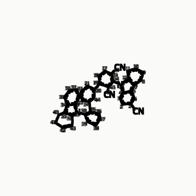 N#Cc1ccc2c(c1)c1ccccc1n2-c1c(C#N)ccc(-c2cccc(-c3ccccc3-n3c4c(c5ccccc53)CCC=C4)c2)c1C#N